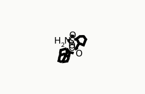 CC1(OC(=O)C2CCCCC2S(N)(=O)=O)C2CC3CC(C2)CC1C3